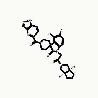 O=C(CN1C(=O)C2(CCN(C(=O)c3ccc4[nH]ncc4n3)CC2)c2c1ccc(F)c2Cl)N1C[C@H]2CCC[C@H]2C1